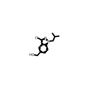 CC(C)Cn1nc(Cl)c2cc(CO)ccc21